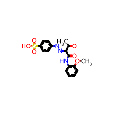 COc1ccccc1NC(=O)C(N=Nc1ccc(S(=O)(=O)O)cc1)C(C)=O